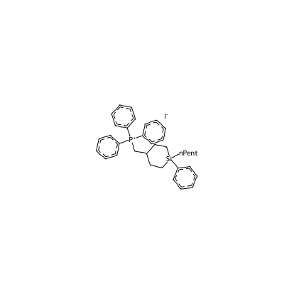 CCCCC[Si]1(c2ccccc2)CCC(C[P+](c2ccccc2)(c2ccccc2)c2ccccc2)CC1.[I-]